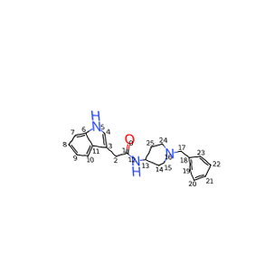 O=C(Cc1c[nH]c2ccccc12)NC1CCN(Cc2ccccc2)CC1